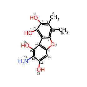 Cc1c(O)c(O)c2c(oc3cc(O)c(N)c(O)c32)c1C